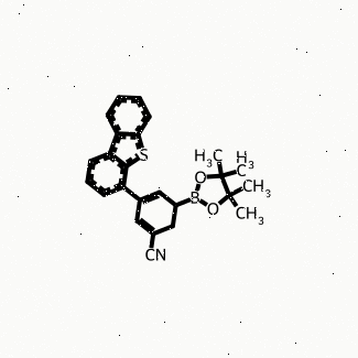 CC1(C)OB(C2C=C(c3cccc4c3sc3ccccc34)C=C(C#N)C2)OC1(C)C